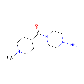 CN1CCC(C(=O)N2CCN(N)CC2)CC1